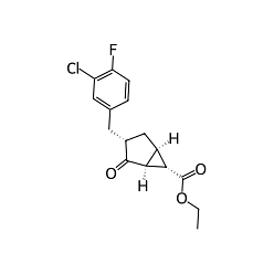 CCOC(=O)[C@H]1[C@@H]2C[C@@H](Cc3ccc(F)c(Cl)c3)C(=O)[C@@H]21